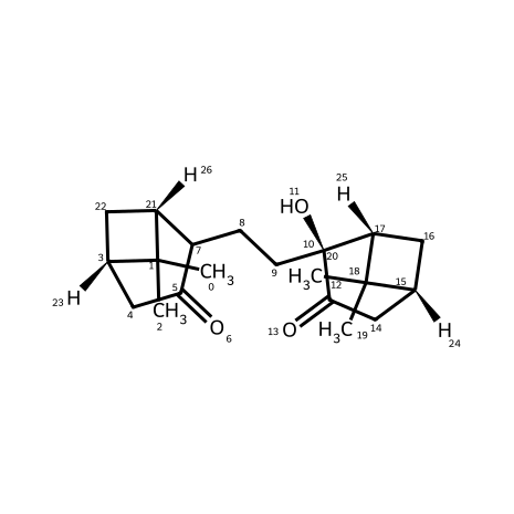 CC1(C)[C@@H]2CC(=O)C(CC[C@@]3(O)C(=O)C[C@H]4C[C@@H]3C4(C)C)[C@H]1C2